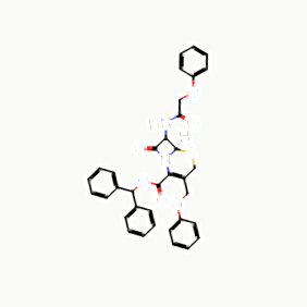 O=C(COc1ccccc1)NC1C(=O)N2C(C(=O)OC(c3ccccc3)c3ccccc3)=C(COc3ccccc3)CS[C@H]12